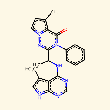 Cc1ccn2nc(C(C)Nc3ncnc4[nH]cc(C(=O)O)c34)n(-c3ccccc3)c(=O)c12